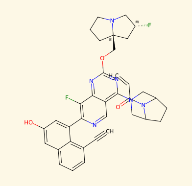 C#Cc1cccc2cc(O)cc(-c3ncc4c(N5CC6CCC(C5)N6C(=O)C=C)nc(OC[C@@]56CCCN5C[C@H](F)C6)nc4c3F)c12